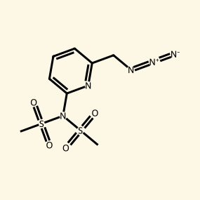 CS(=O)(=O)N(c1cccc(CN=[N+]=[N-])n1)S(C)(=O)=O